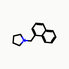 c1ccc2c(CN3CCCC3)cccc2c1